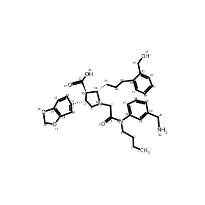 CCCCN(C(=O)CN1C[C@H](c2ccc3c(c2)OCO3)[C@@H](C(=O)O)[C@@H]1CCCc1ccccc1CO)c1cccc(CN)c1